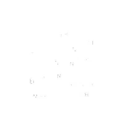 CCOc1nc([C@@H](CS(C)(=O)=O)n2c(=O)n(CC(F)(F)F)c3c(C)c(-c4ccccc4F)cnc32)ccc1OC